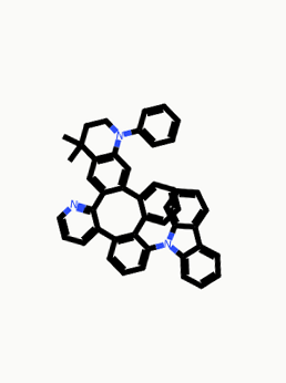 CC1(C)CCN(c2ccccc2)c2cc3c(cc21)-c1ncccc1-c1cccc(-n2c4ccccc4c4ccccc42)c1-c1ccccc1-3